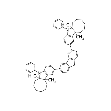 CC12CCCCCCC1(C)N(c1ccccc1)c1ccc(-c3ccc4c(c3)-c3cc(-c5ccc6c(c5)C5(C)CCCCCCC5(C)N6c5ccccc5)ccc3C4)cc12